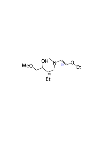 CCO/C=C/N(C)C[C@H](CC)C(O)COC